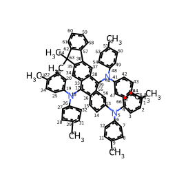 Cc1ccc(N(c2ccc(C)cc2)c2ccc3c(N(c4ccc(C)cc4)c4ccc(C)cc4)c4cc5c(cc4c(N(c4ccc(C)cc4)c4ccc(C)cc4)c3c2)-c2ccccc2C5(C)C)cc1